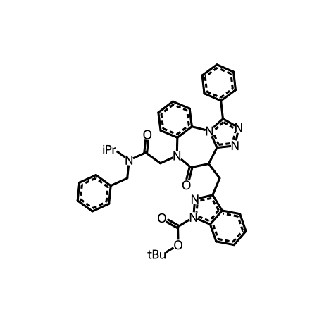 CC(C)N(Cc1ccccc1)C(=O)CN1C(=O)C(Cc2nn(C(=O)OC(C)(C)C)c3ccccc23)c2nnc(-c3ccccc3)n2-c2ccccc21